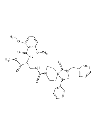 COC(=O)C(CNC(=O)N1CCC2(CC1)C(=O)N(Cc1ccccc1)CN2c1ccccc1)NC(=O)c1c(OC)cccc1OC